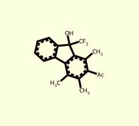 CC(=O)c1c(C)c(C)c2c(c1C)C(O)(C(F)(F)F)c1ccccc1-2